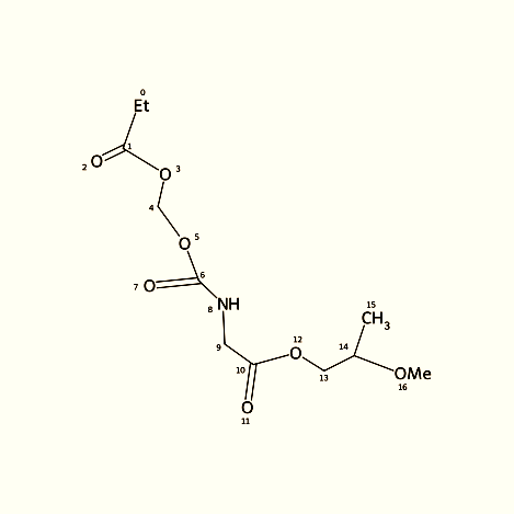 CCC(=O)OCOC(=O)NCC(=O)OCC(C)OC